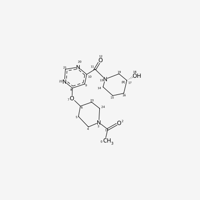 CC(=O)N1CCC(Oc2cc(C(=O)N3CCC[C@@H](O)C3)ncn2)CC1